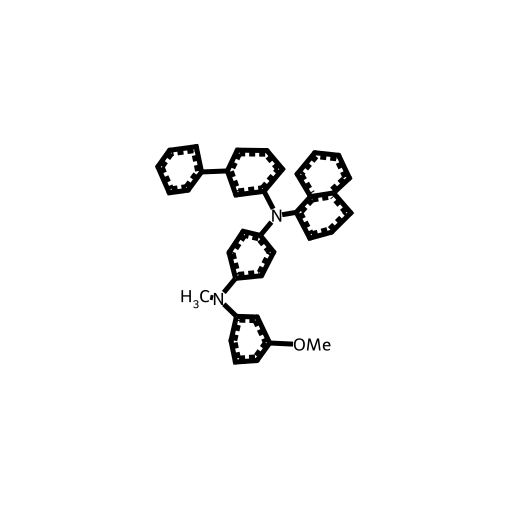 COc1cccc(N(C)c2ccc(N(c3cccc(-c4ccccc4)c3)c3cccc4ccccc34)cc2)c1